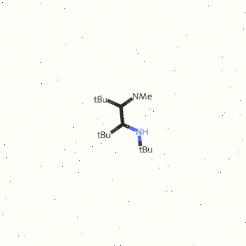 CNC(C(NC(C)(C)C)C(C)(C)C)C(C)(C)C